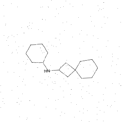 C1CCC(NC2CC3(CCCCC3)C2)CC1